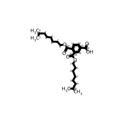 CC(C)CCCCCCOC(=O)c1ccc(C(=O)O)cc1C(=O)OCCCCCCC(C)C